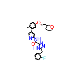 Cc1ccc(OCCC2CCCOC2)cc1-c1ccnc(NC(=O)c2nnc(Cc3ccccc3F)[nH]2)c1